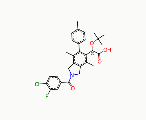 Cc1ccc(-c2c(C)c3c(c(C)c2[C@H](OC(C)(C)C)C(=O)O)CN(C(=O)c2ccc(Cl)c(F)c2)C3)cc1